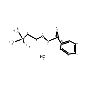 C[N+](C)(C)CCOSC(=O)c1ccccc1.[OH-]